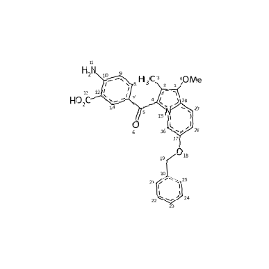 COc1c(C)c(C(=O)c2ccc(N)c(C(=O)O)c2)n2cc(OCc3ccccc3)ccc12